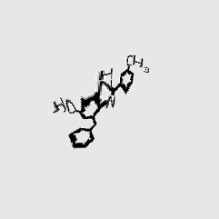 Cc1cccc(-c2nc3c(Cc4ccccc4)cc(O)cc3[nH]2)c1